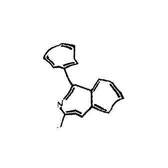 [CH2]c1cc2ccccc2c(-c2ccccc2)n1